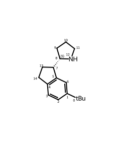 CC(C)(C)c1ccc2c(c1)C([C@@H]1CCCN1)CC2